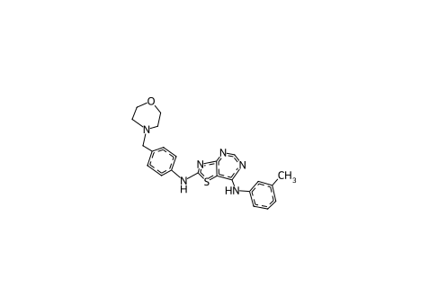 Cc1cccc(Nc2ncnc3nc(Nc4ccc(CN5CCOCC5)cc4)sc23)c1